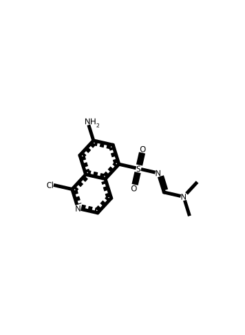 CN(C)/C=N/S(=O)(=O)c1cc(N)cc2c(Cl)nccc12